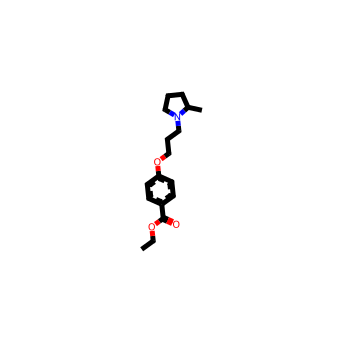 CCOC(=O)c1ccc(OCCCN2CCCC2C)cc1